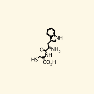 N[C@@H](Cc1c[nH]c2ccccc12)C(=O)N[C@H](CS)C(=O)O